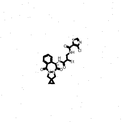 CCC(CNC(=O)c1scnc1Cl)C(=O)N[C@@H]1C(=O)N2CC3(CC3)CN2C(=O)c2ccccc21